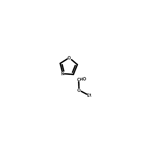 CCOC=O.c1cocn1